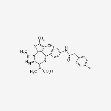 Cc1sc2c(c1C)C(c1ccc(NC(=O)Cc3ccc(F)cc3)cc1)=N[C@@H](C(C)C(=O)O)c1nnc(C)n1-2